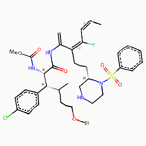 C=C(NC(=O)[C@@H](NC(=O)OC)[C@@H](c1ccc(Cl)cc1)C(C)CCOCC)/C(CC[C@H]1CNCCN1S(=O)(=O)c1ccccc1)=C(F)\C=C/C